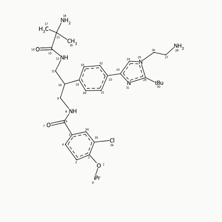 CC(C)Oc1ccc(C(=O)NCC(CNC(=O)C(C)(C)N)c2ccc(-c3cn(CCN)c(C(C)(C)C)n3)cc2)cc1Cl